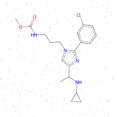 COC(=O)NCCCn1cc(C(C)NC2CC2)nc1-c1cccc(Cl)c1